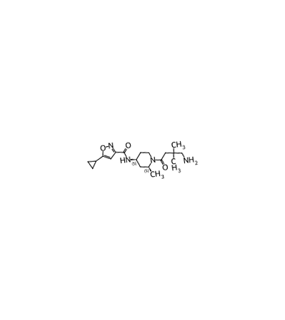 C[C@H]1C[C@@H](NC(=O)c2cc(C3CC3)on2)CCN1C(=O)CC(C)(C)CN